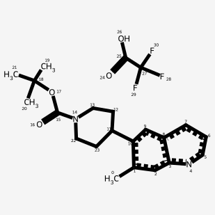 Cc1cc2ncccc2cc1C1CCN(C(=O)OC(C)(C)C)CC1.O=C(O)C(F)(F)F